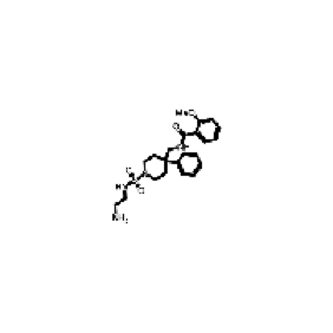 COc1ccccc1C(=O)NCC1(c2ccccc2)CCN(S(=O)(=O)NCCN)CC1